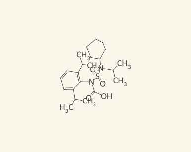 CC(C)c1cccc(C(C)C)c1N(C(=O)O)S(=O)(=O)N(C(C)C)C1CCCCC1